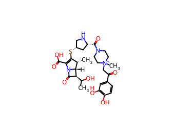 CC(O)[C@H]1C(=O)N2C(C(=O)O)=C(S[C@@H]3CN[C@H](C(=O)N4CC[N+](C)(CC(=O)c5ccc(O)c(O)c5)CC4)C3)[C@H](C)[C@H]12